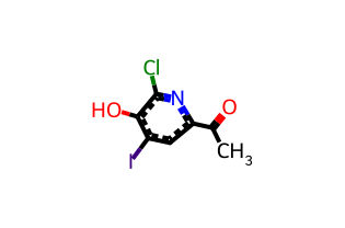 CC(=O)c1cc(I)c(O)c(Cl)n1